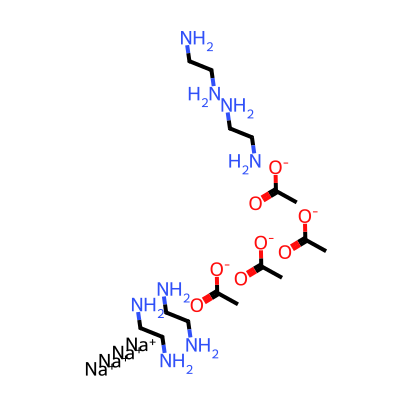 CC(=O)[O-].CC(=O)[O-].CC(=O)[O-].CC(=O)[O-].NCCN.NCCN.NCCN.NCCN.[Na+].[Na+].[Na+].[Na+]